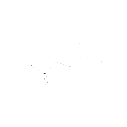 CCP(CC)CCC(N)=O